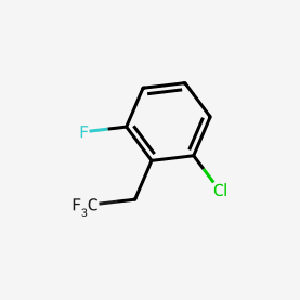 Fc1cccc(Cl)c1CC(F)(F)F